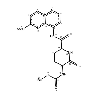 COc1ccc2nccc(NC(=O)C3CCC(NC(=O)OC(C)(C)C)C(=O)N3)c2n1